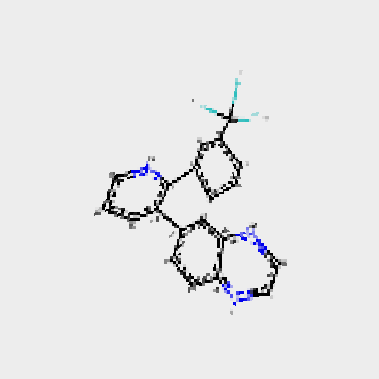 FC(F)(F)c1cccc(-c2ncccc2-c2ccc3nccnc3c2)c1